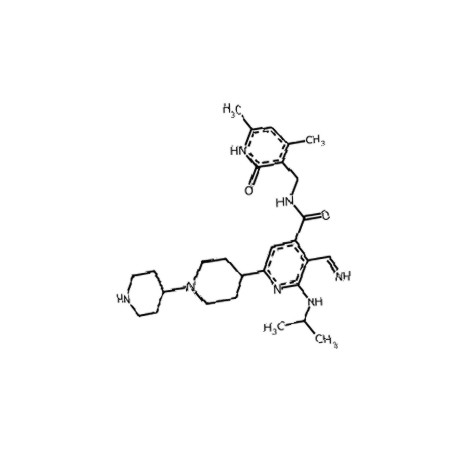 Cc1cc(C)c(CNC(=O)c2cc(C3CCN(C4CCNCC4)CC3)nc(NC(C)C)c2C=N)c(=O)[nH]1